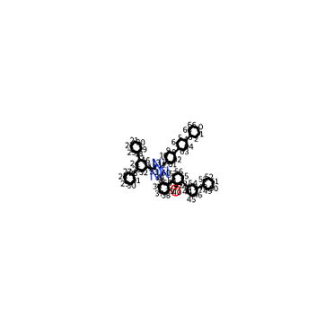 c1ccc(-c2ccc(-c3ccc(-c4nc(-c5cc(-c6ccccc6)cc(-c6ccccc6)c5)nc(-c5cccc6oc7c(-c8cccc(-c9ccccc9)c8)cccc7c56)n4)cc3)cc2)cc1